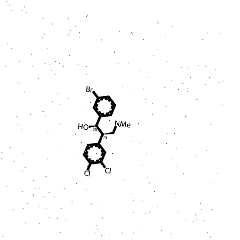 CNC[C@@H](c1ccc(Cl)c(Cl)c1)[C@@H](O)c1cccc(Br)c1